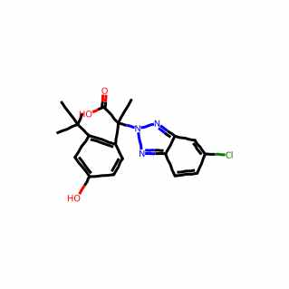 CC(C)(C)c1cc(O)ccc1C(C)(C(=O)O)n1nc2ccc(Cl)cc2n1